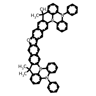 CC1(C)c2cc3cc4oc5cc6cc7c(cc6cc5c4cc3cc2B2c3ccccc3N(c3ccccc3)c3cccc1c32)B1c2ccccc2N(c2ccccc2)c2cccc(c21)C7(C)C